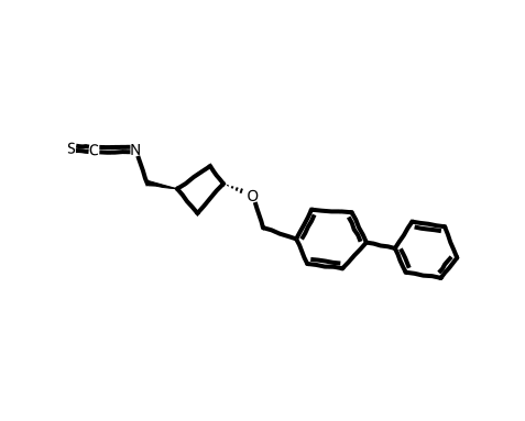 S=C=NC[C@H]1C[C@H](OCc2ccc(-c3ccccc3)cc2)C1